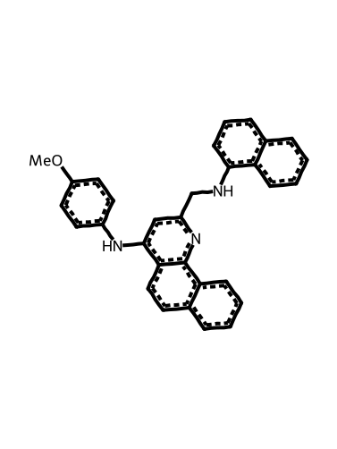 COc1ccc(Nc2cc(CNc3cccc4ccccc34)nc3c2ccc2ccccc23)cc1